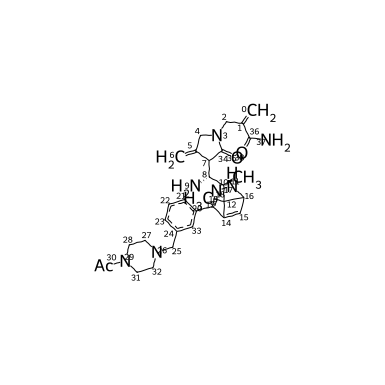 C=C(CN1CC(=C)C([C@@H](N)[C@@H](C)C2(C)C3=CC2NN=C3c2cccc(CN3CCN(C(C)=O)CC3)c2)C1=O)C(N)=O